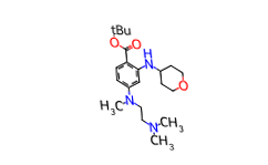 CN(C)CCN(C)c1ccc(C(=O)OC(C)(C)C)c(NC2CCOCC2)c1